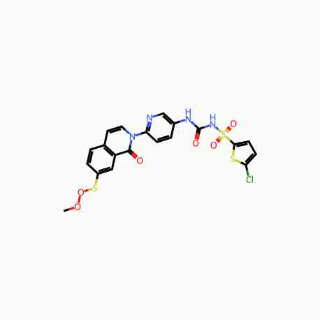 COOSc1ccc2ccn(-c3ccc(NC(=O)NS(=O)(=O)c4ccc(Cl)s4)cn3)c(=O)c2c1